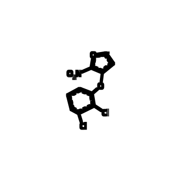 O=[N+]([O-])c1o[c]cc1Oc1cccc(Cl)c1Cl